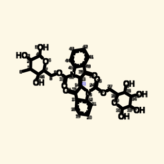 CC1C(O)C(O)OC(COC(=O)N2/C(=C3\C(=O)c4ccccc4N3C(=O)OCC3OC(O)C(O)C(O)C3O)C(=O)c3ccccc32)C1O